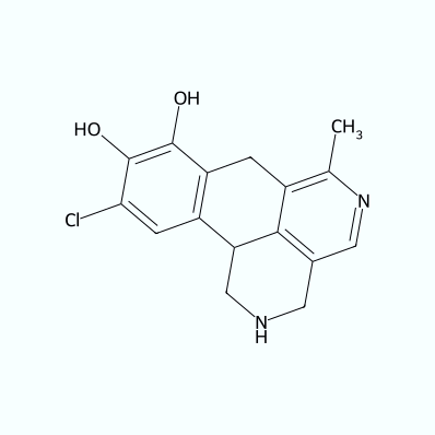 Cc1ncc2c3c1Cc1c(cc(Cl)c(O)c1O)C3CNC2